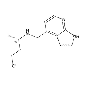 C[C@@H](CCCl)NCc1ccnc2[nH]ccc12